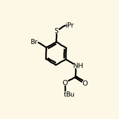 CC(C)Sc1cc(NC(=O)OC(C)(C)C)ccc1Br